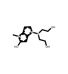 Cn1c(O)cc2c1ccn2N(CCO)CCO